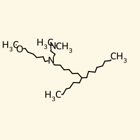 CCCCCCCCC(CCCCCC)CCCCCCN(CCCCCCOC)CCN(C)C